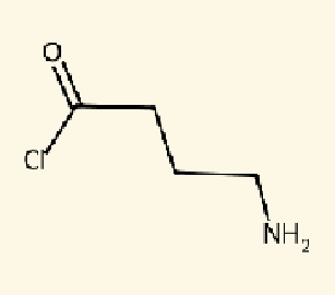 NCCCC(=O)Cl